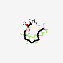 C=CC(=O)OCC(F)(F)CC(F)(F)CC(F)(F)CC(F)(F)CC(F)(F)C(F)F